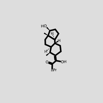 CCCC(=O)/C(O)=C1/CC[C@@H]2[C@H](CC[C@]3(C)[C@@H](O)CC[C@@H]23)[C@@H]1C